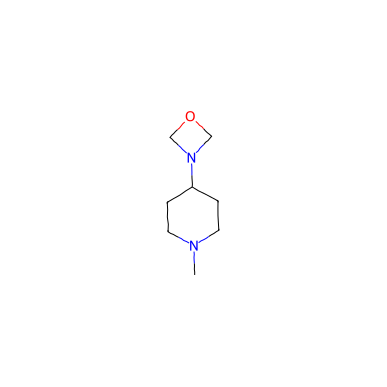 CN1CCC(N2COC2)CC1